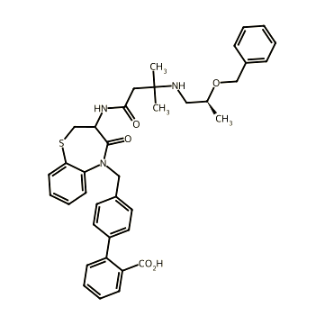 C[C@@H](CNC(C)(C)CC(=O)NC1CSc2ccccc2N(Cc2ccc(-c3ccccc3C(=O)O)cc2)C1=O)OCc1ccccc1